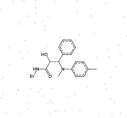 CCNC(=O)C(O)C(c1ccccc1)N(C)c1ccc(C)cc1